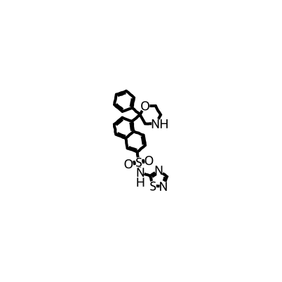 O=S(=O)(Nc1ncns1)c1ccc2c(C3(c4ccccc4)CNCCO3)cccc2c1